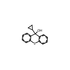 OC1(C2CC2)c2ccccc2Sc2ccccc21